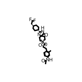 CC(=O)Nc1ccc(CCS(=O)(=O)N2CCC3(CC2)N=C([C@H]2CC[C@H](CC(F)F)CC2)NC3=O)c(C)c1